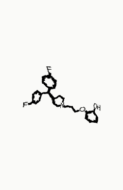 Oc1ccccc1OCCCN1CCC(=C(c2ccc(F)cc2)c2ccc(F)cc2)CC1